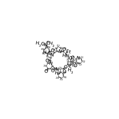 CCC1NC(=O)C(NC(=O)c2ncccc2O)C(C)OC(=O)C(c2ccccc2)NC(=O)C2CC(=O)CCN2C(=O)[C@H](Cc2ccc(N(C)C)cc2)N(C)C(=O)C2CCCN2C1=O